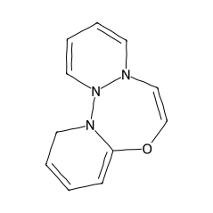 C1=CCN2C(=C1)OC=CN1C=CC=CN12